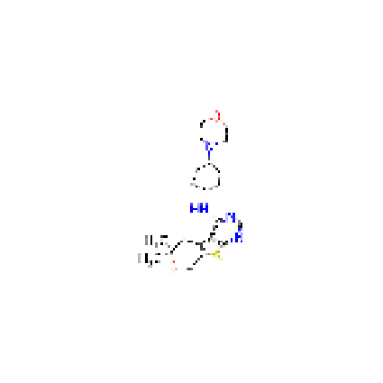 CC1(C)Cc2c(sc3ncnc(N[C@H]4CC[C@H](N5CCOCC5)CC4)c23)CO1